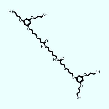 O=C(CCSCCCOc1cc(OCCCS)cc(OCCCS)c1)NCCCCCNC(=O)CCSCCCOc1cc(OCCCS)cc(OCCCS)c1